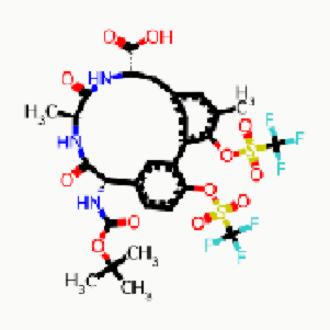 Cc1cc2cc(c1OS(=O)(=O)C(F)(F)F)-c1cc(ccc1OS(=O)(=O)C(F)(F)F)[C@H](NC(=O)OC(C)(C)C)C(=O)N[C@@H](C)C(=O)N[C@H](C(=O)O)C2